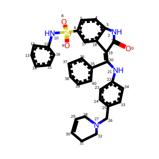 O=C1Nc2ccc(S(=O)(=O)Nc3ccccc3)cc2/C1=C(/Nc1ccc(CN2CC=CCC2)cc1)c1ccccc1